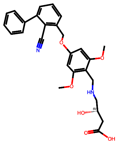 COc1cc(OCc2cccc(-c3ccccc3)c2C#N)cc(OC)c1CNC[C@@H](O)CC(=O)O